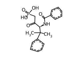 CC(C)(c1ccccc1)[C@H](NC(=O)c1ccccc1)C(=O)CP(=O)(O)O